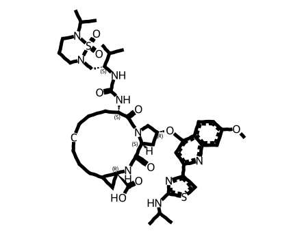 COc1ccc2c(O[C@@H]3C[C@H]4C(=O)N[C@]5(C(=O)O)CC5CCCCCCC[C@H](NC(=O)N[C@H](CN5CCCN(C(C)C)S5(=O)=O)C(C)C)C(=O)N4C3)cc(-c3csc(NC(C)C)n3)nc2c1